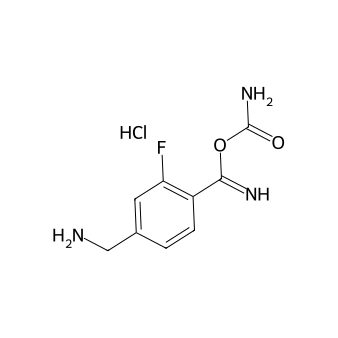 Cl.N=C(OC(N)=O)c1ccc(CN)cc1F